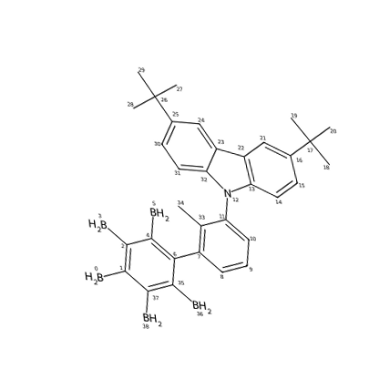 Bc1c(B)c(B)c(-c2cccc(-n3c4ccc(C(C)(C)C)cc4c4cc(C(C)(C)C)ccc43)c2C)c(B)c1B